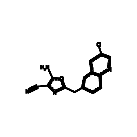 N#Cc1nc(Cc2ccc3ncc(Cl)cc3c2)oc1N